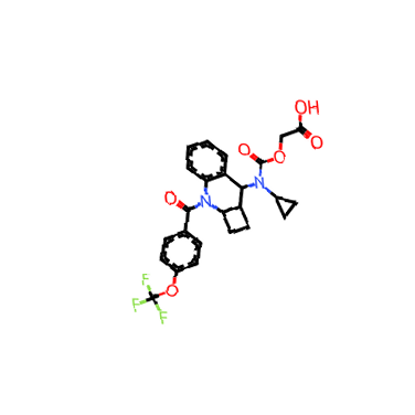 O=C(O)COC(=O)N(C1CC1)C1c2ccccc2N(C(=O)c2ccc(OC(F)(F)F)cc2)C2CCC21